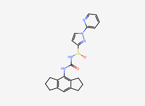 O=C(Nc1c2c(cc3c1CCC3)CCC2)N[S+]([O-])c1ccn(-c2ccccn2)n1